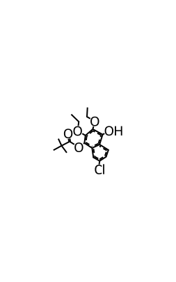 CCOc1c(OCC)c(OC(=O)C(C)(C)C)c2cc(Cl)ccc2c1O